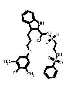 Cc1cc(OCCCc2c(C(O)NS(=O)(=O)CCNS(=O)(=O)c3ccccc3)[nH]c3ccccc23)cc(C)c1Cl